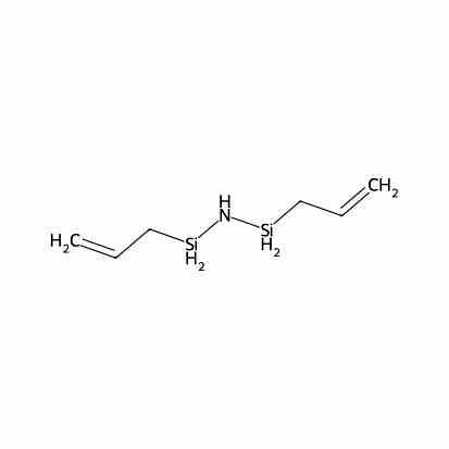 C=CC[SiH2]N[SiH2]CC=C